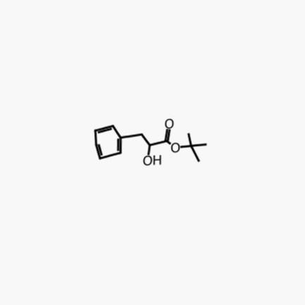 CC(C)(C)OC(=O)C(O)Cc1ccccc1